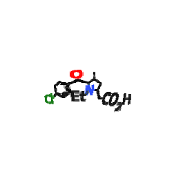 CCN1C(CC(=O)O)CC(C)C1C(=O)c1ccc(Cl)cc1